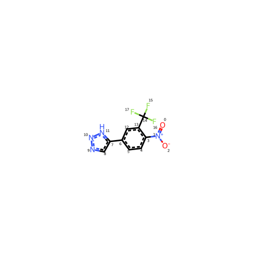 O=[N+]([O-])c1ccc(-c2cnn[nH]2)cc1C(F)(F)F